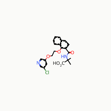 CC(C)(NC(=O)c1ccc2ccccc2c1OCCOc1cncc(Cl)c1)C(=O)O